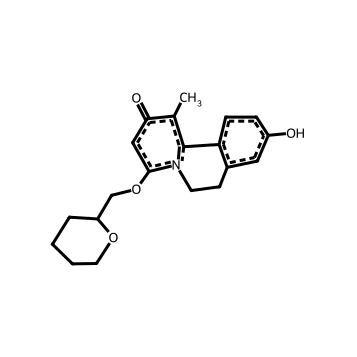 Cc1c2n(c(OCC3CCCCO3)cc1=O)CCc1cc(O)ccc1-2